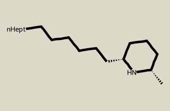 CCCCCCCCCCCCC[C@@H]1CCC[C@H](C)N1